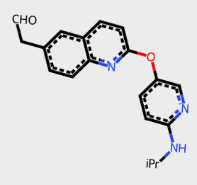 CC(C)Nc1ccc(Oc2ccc3cc(CC=O)ccc3n2)cn1